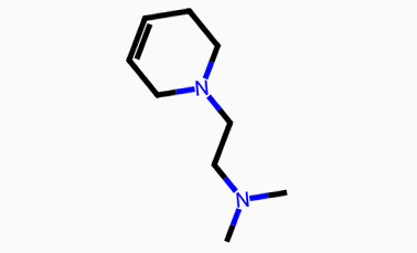 CN(C)CCN1CC=CCC1